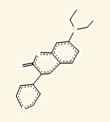 CCN(CC)c1ccc2cc(-c3ccncc3)c(=O)oc2c1